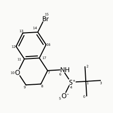 CC(C)(C)[S+]([O-])NC1CCOc2ccc(Br)cc21